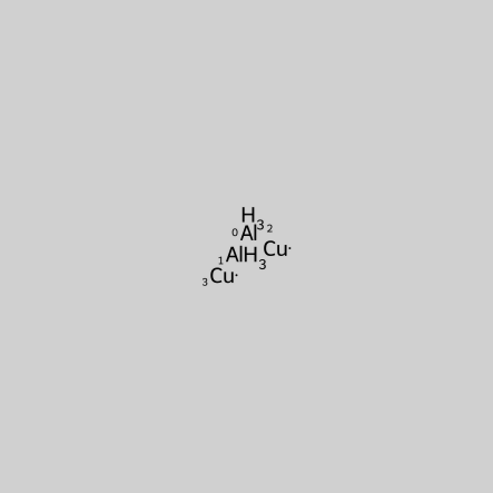 [AlH3].[AlH3].[Cu].[Cu]